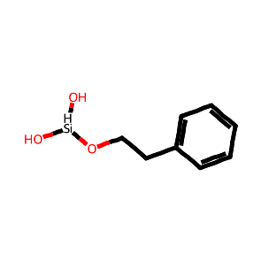 O[SiH](O)OCCc1ccccc1